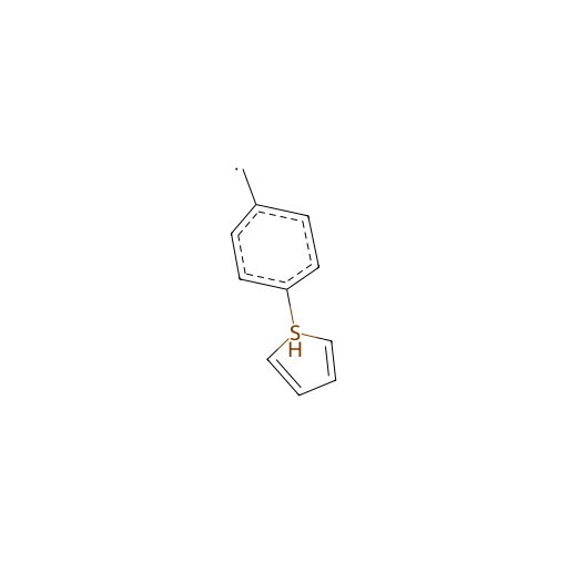 [CH2]c1ccc([SH]2C=CC=C2)cc1